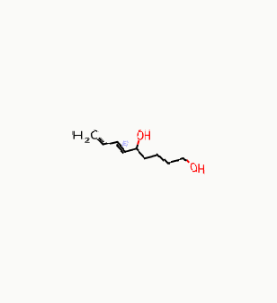 C=C/C=C/C(O)CCCCO